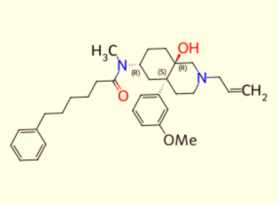 C=CCN1CC[C@@]2(c3cccc(OC)c3)C[C@H](N(C)C(=O)CCCCCc3ccccc3)CC[C@]2(O)C1